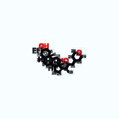 CC[C@]1(O)CC[C@@]2(C)[C@@H](CC[C@@H]3[C@@H]2CC[C@]2(C)[C@@H]([C@H](C)[C@H](O)CC4CCOCC4)CC[C@@H]32)C1